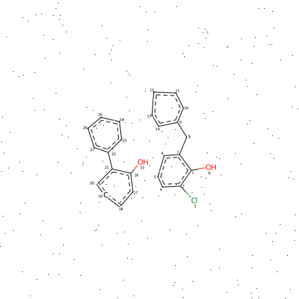 Oc1c(Cl)cccc1Cc1ccccc1.Oc1ccccc1-c1ccccc1